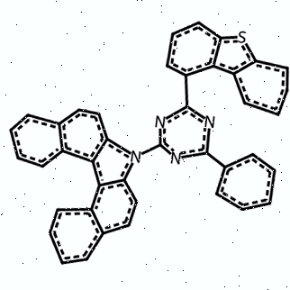 c1ccc(-c2nc(-c3cccc4sc5ccccc5c34)nc(-n3c4ccc5ccccc5c4c4c5ccccc5ccc43)n2)cc1